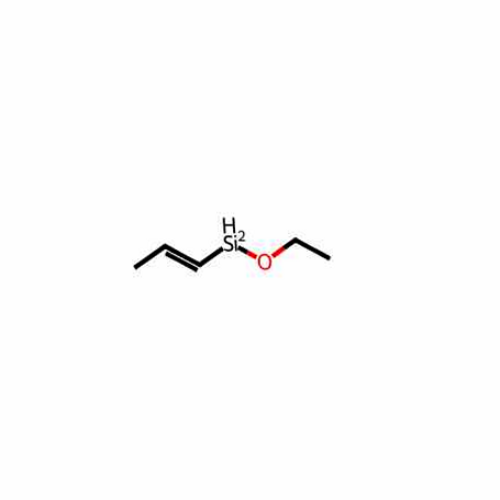 CC=C[SiH2]OCC